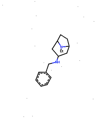 CCN1C2CCC1CC(NCc1ccccc1)C2